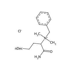 CCCCCCCCCCCCC(C(N)=O)[N+](C)(C)Cc1ccccc1.[Cl-]